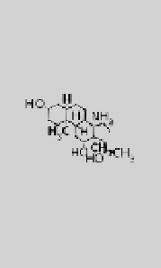 C[C@@H](O)[C@H]1CC[C@]2(N)[C@@H]3CC[C@@H]4C[C@@H](O)CC[C@]4(C)[C@H]3C[C@@H](O)[C@]12C